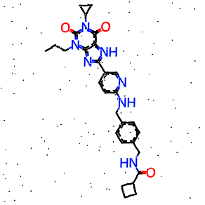 CCCn1c(=O)n(C2CC2)c(=O)c2[nH]c(-c3ccc(NCc4ccc(CNC(=O)C5CCC5)cc4)nc3)nc21